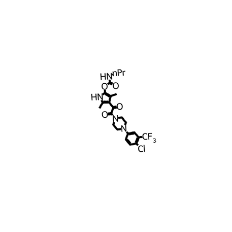 CCCNC(=O)Oc1[nH]c(C)c(C(=O)C(=O)N2CCN(c3ccc(Cl)c(C(F)(F)F)c3)CC2)c1C